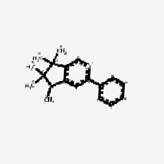 CC1c2cc(-c3ccccc3)ncc2C(C)(C)C1(C)C